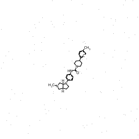 Cc1ccc(C2CCN(C(=O)Nc3ccc(N4CC[C@@H]5CN(C)C[C@@H]54)cc3)CC2)cc1